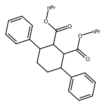 CCCOC(=O)C1C(c2ccccc2)CCC(c2ccccc2)C1C(=O)OCCC